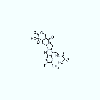 CC[C@@]1(O)C(=O)OCc2c1cc1n(c2=O)Cc2c-1nc1cc(F)c(C)cc1c2CNC(=O)C1(O)CC1